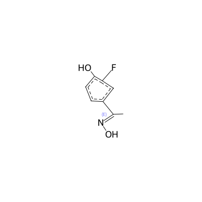 C/C(=N\O)c1ccc(O)c(F)c1